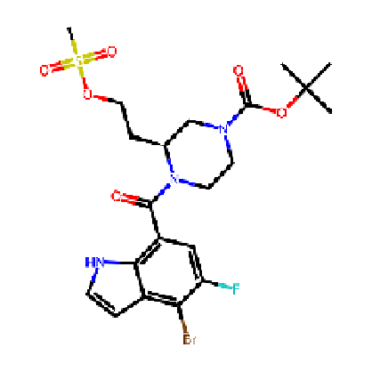 CC(C)(C)OC(=O)N1CCN(C(=O)c2cc(F)c(Br)c3cc[nH]c23)[C@@H](CCOS(C)(=O)=O)C1